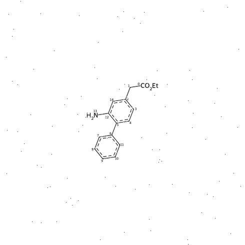 CCOC(=O)Cc1ccc(-c2ccccc2)c(N)c1